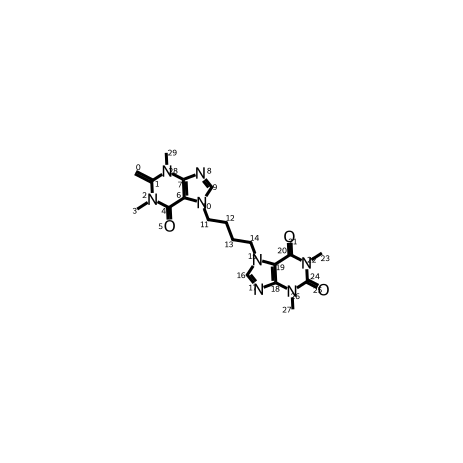 C=C1N(C)C(=O)c2c(ncn2CCCCn2cnc3c2c(=O)n(C)c(=O)n3C)N1C